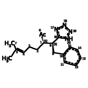 CC(=O)[C@@H](CCC=C(C)C)[C@H](Cc1ccccc1)c1nnn[nH]1